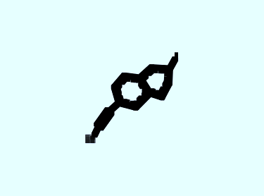 CCC#Cc1ccc2cc(I)ccc2c1